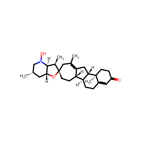 CC1=C2C[C@H]3[C@@H](CCC4=CC(=O)CC[C@@]43C)[C@@H]2CC[C@@]2(C1)O[C@@H]1C[C@H](C)CN(O)[C@H]1[C@H]2C